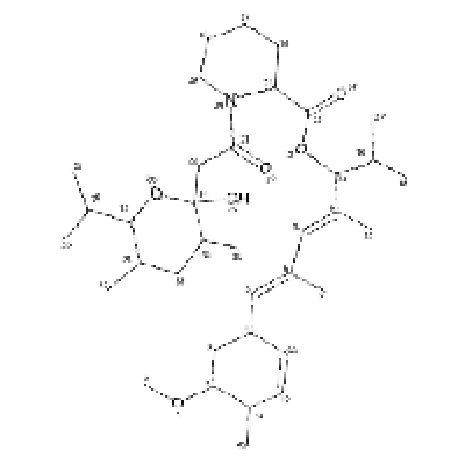 COC1CC(/C=C(C)/C=C(\C)C(OC(=O)C2CCCCN2C(=O)CC2(O)OC(C(C)C)C(C)CC2C)C(C)C)C=CC1C